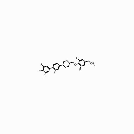 CCc1cc(F)c(OCC2CCC(c3ccc(-c4cc(F)c(F)c(F)c4)c(F)c3)CC2)c(F)c1